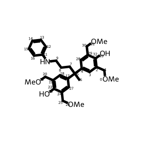 COCc1cc(C(C)(CCCNc2ccccc2)c2cc(COC)c(O)c(COC)c2)cc(COC)c1O